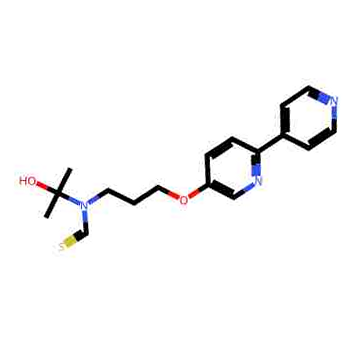 CC(C)(O)N(C=S)CCCOc1ccc(-c2ccncc2)nc1